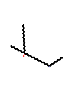 CCCCCCCC/C=C\CCCCCCCCCCCCCC([O])C(CCCCCCCC)CCCCCCCCCCCCCCC